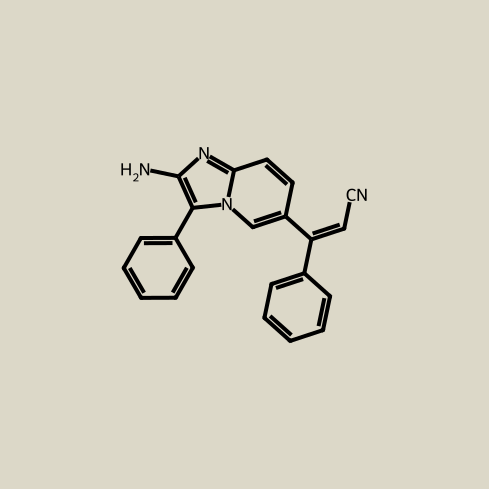 N#C/C=C(/c1ccccc1)c1ccc2nc(N)c(-c3ccccc3)n2c1